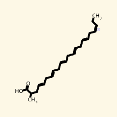 CC/C=C\CC=CCC=CCC=CCC=CCC=CCC(C)C(=O)O